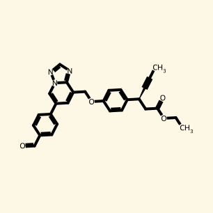 CC#C[C@@H](CC(=O)OCC)c1ccc(OCc2cc(-c3ccc(C=O)cc3)cn3ncnc23)cc1